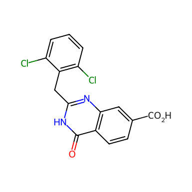 O=C(O)c1ccc2c(=O)[nH]c(Cc3c(Cl)cccc3Cl)nc2c1